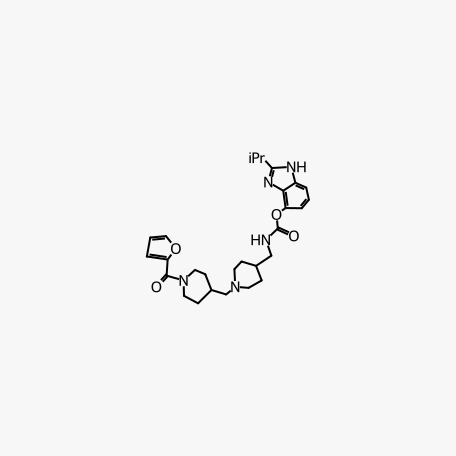 CC(C)c1nc2c(OC(=O)NCC3CCN(CC4CCN(C(=O)c5ccco5)CC4)CC3)cccc2[nH]1